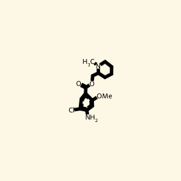 COc1cc(N)c(Cl)cc1C(=O)OCC1CCCCN1C